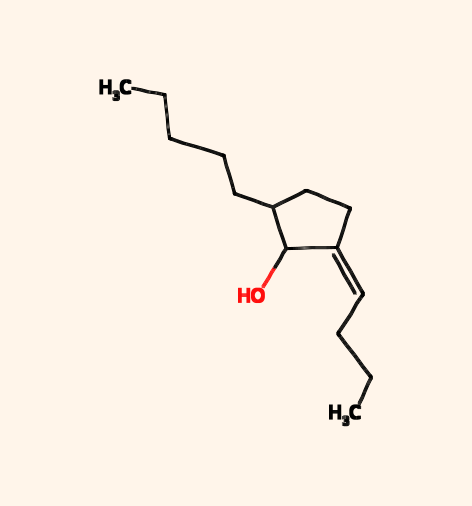 CCC/C=C1/CCC(CCCCC)C1O